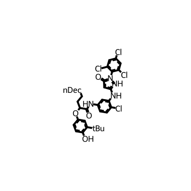 CCCCCCCCCCCCC(Oc1ccc(O)c(C(C)(C)C)c1)C(=O)Nc1ccc(Cl)c(Nc2cc(=O)n(-c3c(Cl)cc(Cl)cc3Cl)[nH]2)c1